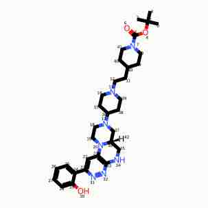 CC(C)(C)OC(=O)N1CCC(CCN2CCC(N3CCN4c5cc(-c6ccccc6O)nnc5NC[C@H]4C3)CC2)CC1